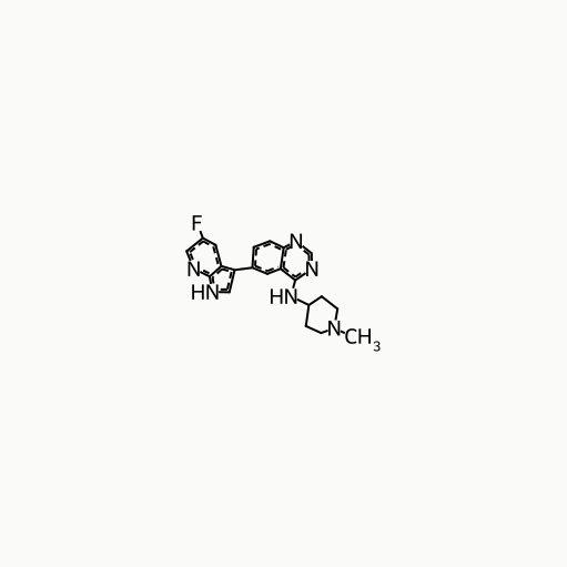 CN1CCC(Nc2ncnc3ccc(-c4c[nH]c5ncc(F)cc45)cc23)CC1